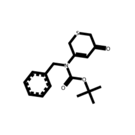 CC(C)(C)OC(=O)N(Cc1ccccc1)C1=CC(=O)CSC1